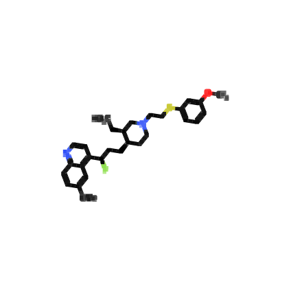 COc1ccc2nccc([C@H](F)CC[C@@H]3CCN(CCSc4cccc(OC(F)(F)F)c4)C[C@@H]3CC(=O)O)c2c1